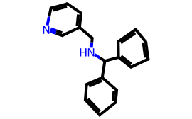 c1ccc(C(NCc2cccnc2)c2ccccc2)cc1